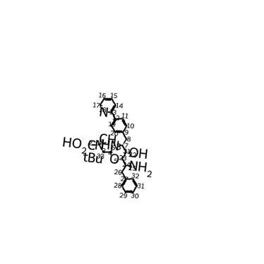 CN(C(=O)O)[C@H](C(=O)N[C@@H](Cc1ccc(-c2ccccn2)cc1)[C@H](O)C[C@@H](N)Cc1ccccc1)C(C)(C)C